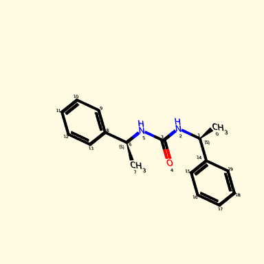 C[C@H](NC(=O)N[C@@H](C)c1ccccc1)c1ccccc1